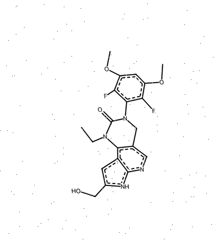 CCN1C(=O)N(c2c(F)c(OC)cc(OC)c2F)Cc2cnc3[nH]c(CO)cc3c21